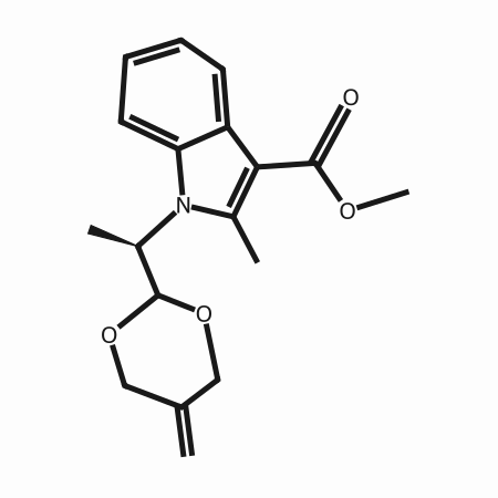 C=C1COC([C@@H](C)n2c(C)c(C(=O)OC)c3ccccc32)OC1